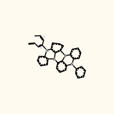 C=C/C=C(\C=C/C)N1c2ccccc2B2c3cccc4c3B(c3ccccc3N4c3ccccc3)c3cccc1c32